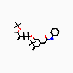 C=C(CC(CCOC(C)(C)C(C)(C)C(=C)C(C)OC(C)(C)C)CC(=O)Nc1ccccc1)C(C)(C)C